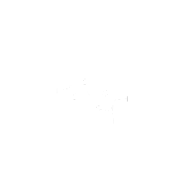 CC1=C(I)SC(=C2SC(I)=C(I)S2)S1